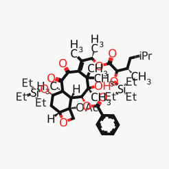 CC[Si](CC)(CC)OC(C(=O)O[C@@H](C)/C(C)=C1/C(=O)C(=O)[C@]2(C)[C@@H](O[Si](CC)(CC)CC)C[C@H]3OC[C@@]3(OC(C)=O)[C@H]2[C@H](OC(=O)c2ccccc2)[C@@](C)(O)C1(C)C)[C@@H](C)CC(C)C